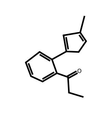 CCC(=O)c1ccccc1C1=CC(C)=CC1